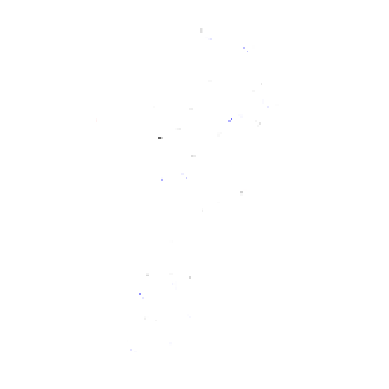 [N-]=[N+]=NC1[C@@H](OP(=O)(O)OC[C@@H]2CCC(n3cnc4c(N)ncnc43)O2)[C@H](n2cnc3c(=O)[nH]c(N)nc32)O[C@@H]1COP(=O)(O)O